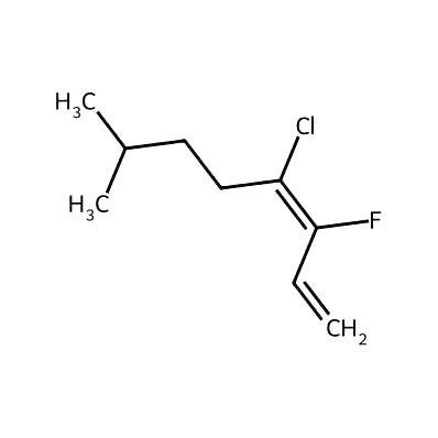 C=C/C(F)=C(/Cl)CCC(C)C